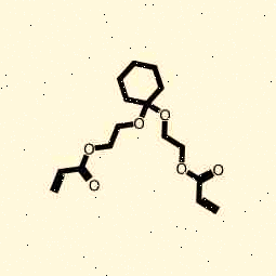 C=CC(=O)OCCOC1(OCCOC(=O)C=C)CCCCC1